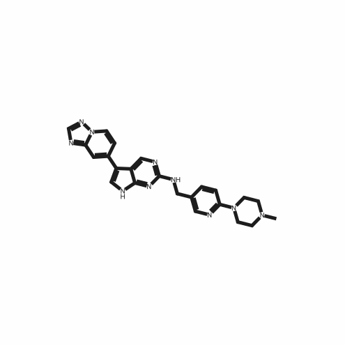 CN1CCN(c2ccc(CNc3ncc4c(-c5ccn6ncnc6c5)c[nH]c4n3)cn2)CC1